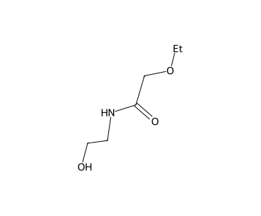 CCOCC(=O)NCCO